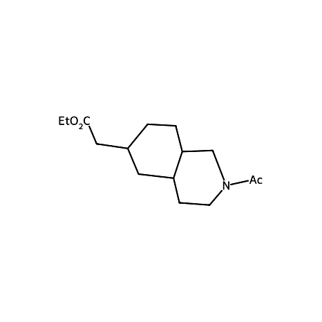 CCOC(=O)CC1CCC2CN(C(C)=O)CCC2C1